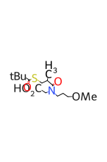 COCCCN(CC(=O)O)C(=O)C(C)CSC(=O)C(C)(C)C